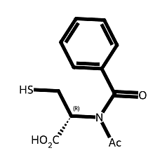 CC(=O)N(C(=O)c1ccccc1)[C@@H](CS)C(=O)O